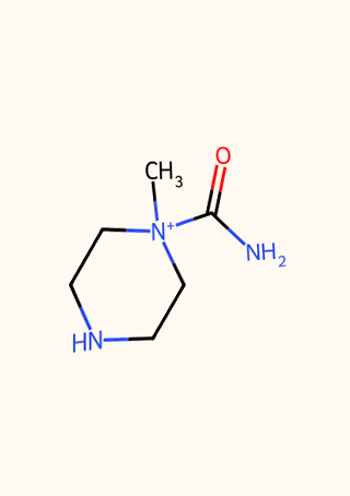 C[N+]1(C(N)=O)CCNCC1